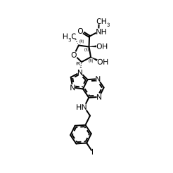 CNC(=O)[C@@]1(O)[C@@H](C)O[C@@H](n2cnc3c(NCc4cccc(I)c4)ncnc32)[C@@H]1O